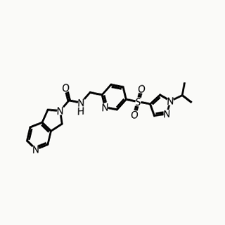 CC(C)n1cc(S(=O)(=O)c2ccc(CNC(=O)N3Cc4ccncc4C3)nc2)cn1